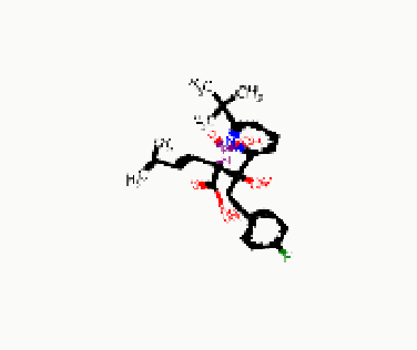 CC(C)C=CC(C(=O)O)([PH](=O)O)C(O)(Cc1ccc(F)cc1)c1cccc(C(C)(C)C)n1